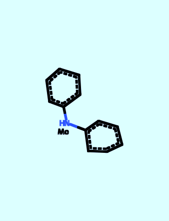 [Mo].c1ccc(Nc2ccccc2)cc1